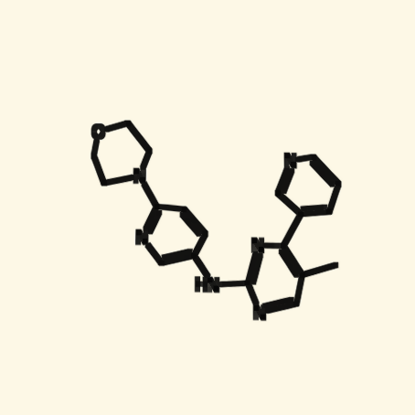 Cc1cnc(Nc2ccc(N3CCOCC3)nc2)nc1-c1cccnc1